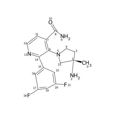 C[C@]1(N)CCN(c2c(C(N)=O)ccnc2-c2cc(F)cc(F)c2)C1